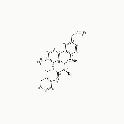 CCOC(=O)Cc1ccc(OC)c(-c2ccc(C)cc2CN(CC)C(=O)OCc2ccccc2)c1